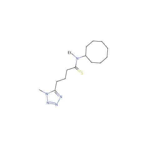 CCN(C(=S)CCCc1nnnn1C)C1CCCCCCC1